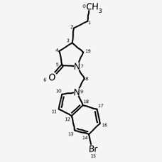 CCCC1CC(=O)N(Cn2ccc3cc(Br)ccc32)C1